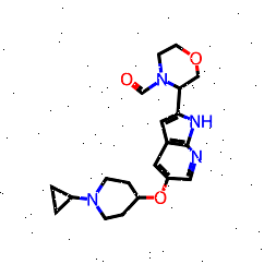 O=CN1CCOCC1c1cc2cc(OC3CCN(C4CC4)CC3)cnc2[nH]1